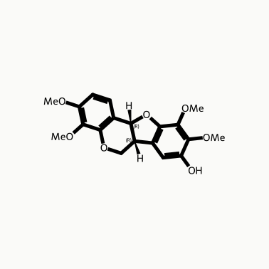 COc1ccc2c(c1OC)OC[C@H]1c3cc(O)c(OC)c(OC)c3O[C@@H]21